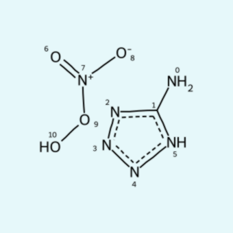 Nc1nnn[nH]1.O=[N+]([O-])OO